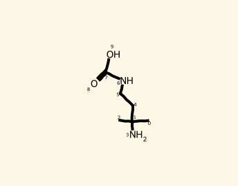 CC(C)(N)CCNC(=O)O